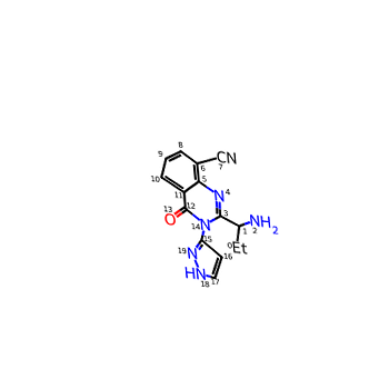 CCC(N)c1nc2c(C#N)cccc2c(=O)n1-c1cc[nH]n1